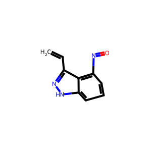 C=Cc1n[nH]c2cccc(N=O)c12